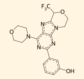 Oc1cccc(-c2nc(N3CCOCC3)c3nc4n(c3n2)CCOC4C(F)(F)F)c1